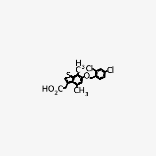 Cc1c(OCc2ccc(Cl)cc2Cl)cc(C)c2c(CC(=O)O)csc12